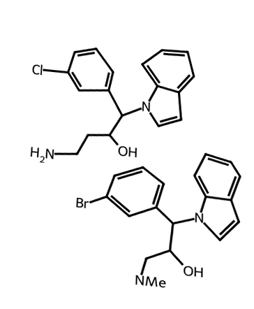 CNCC(O)C(c1cccc(Br)c1)n1ccc2ccccc21.NCCC(O)C(c1cccc(Cl)c1)n1ccc2ccccc21